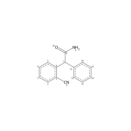 N#Cc1ccccc1C(C(N)=O)c1ccccc1